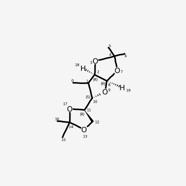 CC1[C@H]2OC(C)(C)O[C@H]2O[C@@H]1[C@H]1COC(C)(C)O1